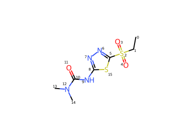 CCS(=O)(=O)c1nnc(NC(=O)N(C)C)s1